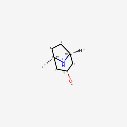 [O][C@@H]1C[C@H]2CC[C@@H](C1)N2